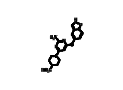 CCOC(=O)C1CCN(c2cc(OC3=CC4=CNON4C=C3)nc([N+](=O)[O-])n2)CC1